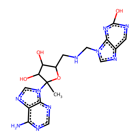 CC1(n2cnc3c(N)ncnc32)OC(CNCn2cnc3cnc(O)nc32)C(O)C1O